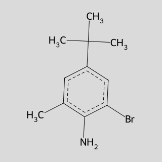 Cc1cc(C(C)(C)C)cc(Br)c1N